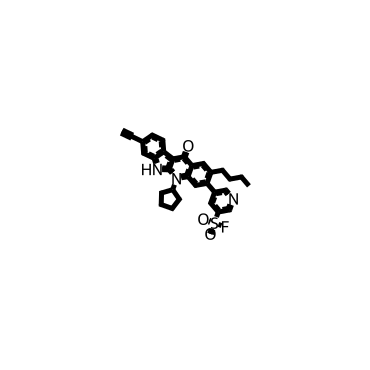 C#Cc1ccc2c(c1)[nH]c1c2c(=O)c2cc(CCCC)c(-c3cncc(S(=O)(=O)F)c3)cc2n1C1CCCC1